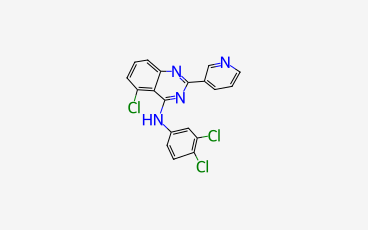 Clc1ccc(Nc2nc(-c3cccnc3)nc3cccc(Cl)c23)cc1Cl